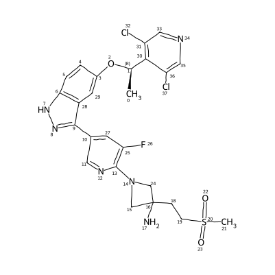 C[C@@H](Oc1ccc2[nH]nc(-c3cnc(N4CC(N)(CCS(C)(=O)=O)C4)c(F)c3)c2c1)c1c(Cl)cncc1Cl